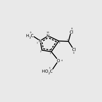 Cn1cc(OC(=O)O)c(C(Cl)Cl)n1